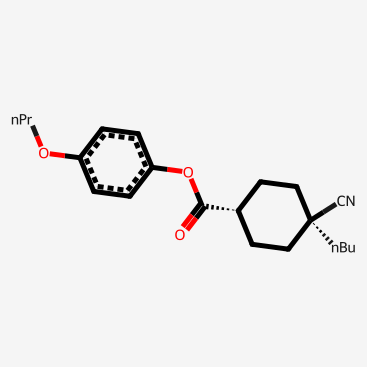 CCCC[C@]1(C#N)CC[C@H](C(=O)Oc2ccc(OCCC)cc2)CC1